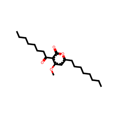 CCCCCCCCc1cc(OC)c(C(=O)CCCCCCC)c(=O)o1